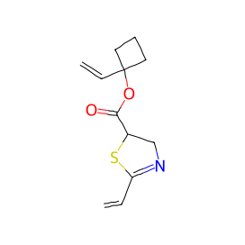 C=CC1=NCC(C(=O)OC2(C=C)CCC2)S1